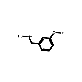 CCOc1cccc(CNS)c1